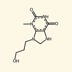 Cn1c2c(c(=O)[nH]c1=O)NCN2CCCO